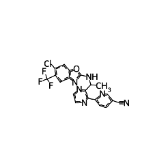 CC(Nc1nc2cc(C(F)(F)F)c(Cl)cc2o1)c1nccnc1-c1ccc(C#N)cn1